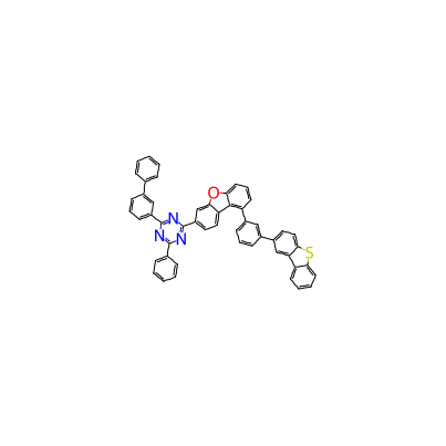 c1ccc(-c2cccc(-c3nc(-c4ccccc4)nc(-c4ccc5c(c4)oc4cccc(-c6cccc(-c7ccc8sc9ccccc9c8c7)c6)c45)n3)c2)cc1